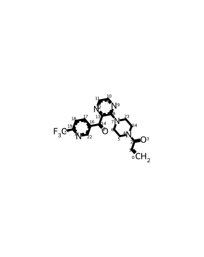 C=CC(=O)N1CCN(c2nccnc2C(=O)c2ccc(C(F)(F)F)nc2)CC1